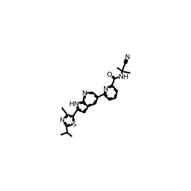 Cc1nc(C(C)C)sc1-c1cc2cc(-c3cccc(C(=O)NC(C)(C)C#N)n3)cnc2[nH]1